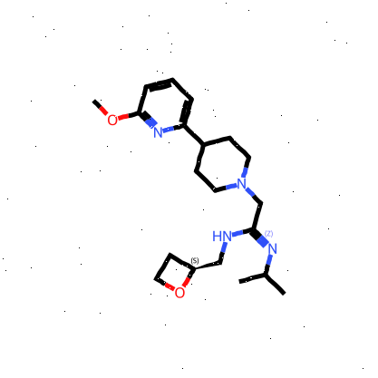 COc1cccc(C2CCN(C/C(=N/C(C)C)NC[C@@H]3CCO3)CC2)n1